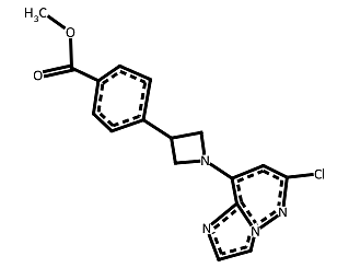 COC(=O)c1ccc(C2CN(c3cc(Cl)nn4ccnc34)C2)cc1